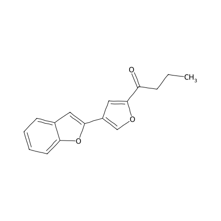 CCCC(=O)c1cc(-c2cc3ccccc3o2)co1